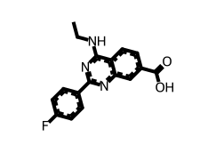 CCNc1nc(-c2ccc(F)cc2)nc2cc(C(=O)O)ccc12